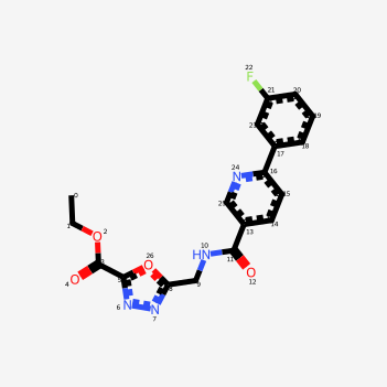 CCOC(=O)c1nnc(CNC(=O)c2ccc(-c3cccc(F)c3)nc2)o1